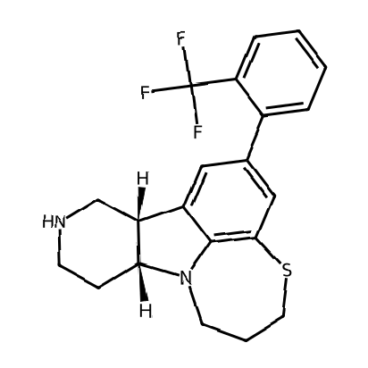 FC(F)(F)c1ccccc1-c1cc2c3c(c1)[C@H]1CNCC[C@H]1N3CCCS2